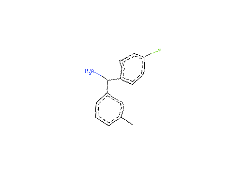 Cc1cccc(C(N)c2ccc(F)cc2)c1